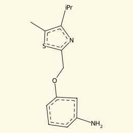 Cc1sc(COc2cccc(N)c2)nc1C(C)C